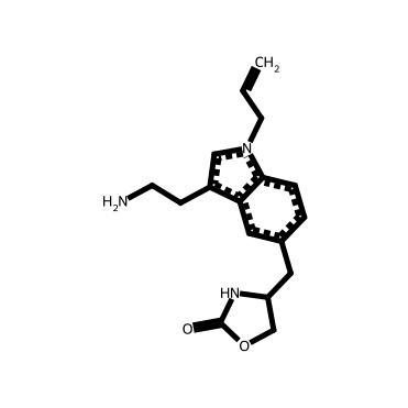 C=CCn1cc(CCN)c2cc(CC3COC(=O)N3)ccc21